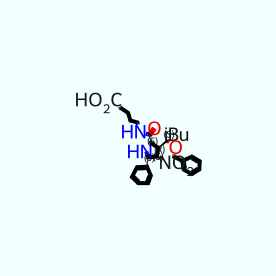 CC[C@H](C)C(OCc1ccccc1)[C@H]1[C@H]([N+](=O)[O-])[C@H](c2ccccc2)N[C@@H]1C(=O)NCCCCC(=O)O